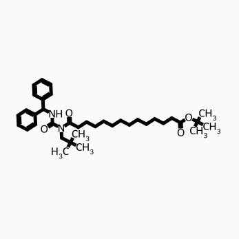 CC(C)(C)CN(C(=O)CCCCCCCCCCCCC(=O)OC(C)(C)C)C(=O)NC(c1ccccc1)c1ccccc1